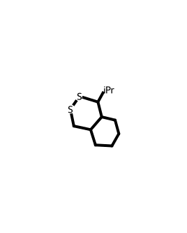 CC(C)C1SSCC2CCCCC21